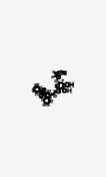 CC(C)(C)[Si](C)(C)OC[C@@H]1C[C@H](O)[C@@H](O)[C@@H](OCCc2cn(S(=O)(=O)c3ccccc3)c3ccccc23)O1